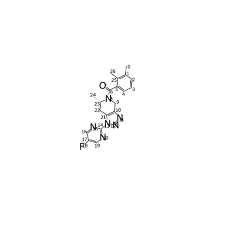 Cc1cccc(C(=O)N2Cc3nnn(-c4ncc(F)cn4)c3C[C@@H]2C)c1C